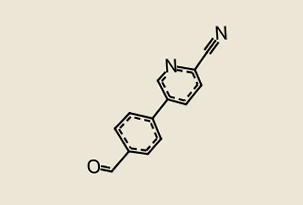 N#Cc1ccc(-c2ccc(C=O)cc2)cn1